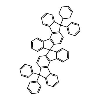 C1=CCC(C2(c3ccccc3)c3ccccc3-c3c2ccc2c3-c3ccccc3C23c2ccccc2-c2c3ccc3c2-c2ccccc2C3(c2ccccc2)c2ccccc2)CC1